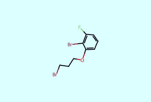 Fc1cccc(OCCCBr)c1Br